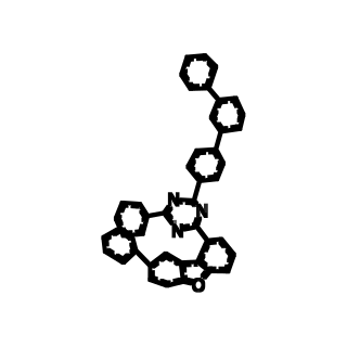 c1ccc(-c2cccc(-c3ccc(-c4nc(-c5ccccc5)nc(-c5cccc6oc7ccc(-c8ccccc8)cc7c56)n4)cc3)c2)cc1